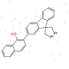 CC(C)CC1(CC(C)C)c2ccccc2-c2ccc(-c3ccc4ccccc4c3O)cc21